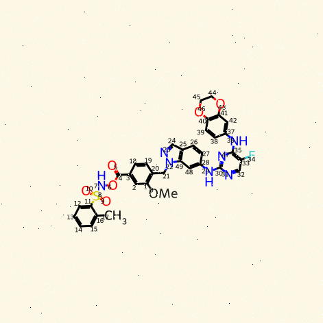 COc1cc(C(=O)ONS(=O)(=O)c2ccccc2C)ccc1Cn1ncc2ccc(Nc3ncc(F)c(Nc4ccc5c(c4)OCCO5)n3)cc21